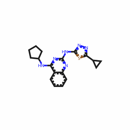 c1ccc2c(NC3CCCC3)nc(Nc3nnc(C4CC4)s3)nc2c1